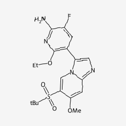 CCOc1nc(N)c(F)cc1-c1cnc2cc(OC)c(S(=O)(=O)C(C)(C)C)cn12